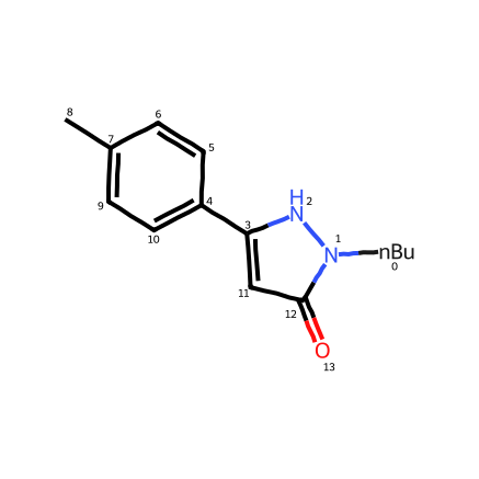 CCCCn1[nH]c(-c2ccc(C)cc2)cc1=O